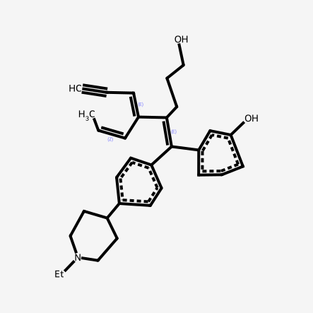 C#C/C=C(\C=C/C)C(/CCCO)=C(\c1ccc(C2CCN(CC)CC2)cc1)c1cccc(O)c1